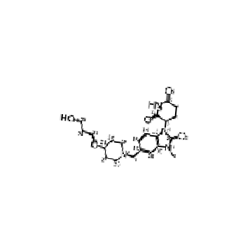 Cn1c(=O)n(C2CCC(=O)NC2=O)c2ccc(CN3CCC(OCCCO)CC3)cc21